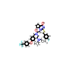 CCN(CC)CCN(Cc1ccc(Oc2ccc(C(F)(F)F)cc2)cc1)C(=O)Cn1c(SCc2ccc(F)cc2)nc(=O)c2c1CCC2